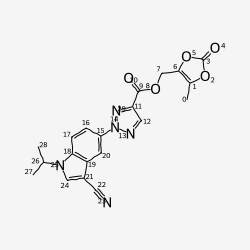 Cc1oc(=O)oc1COC(=O)c1cnn(-c2ccc3c(c2)c(C#N)cn3C(C)C)n1